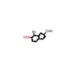 CC(=O)Oc1ccc2ccc(O)c(C(C)=O)c2c1